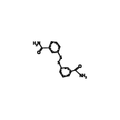 NC(=O)c1cccc(SSc2cccc(C(N)=O)c2)c1